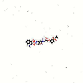 CCn1cc(S(=O)(=O)N2CCC3(CC2)CC(NCC(O)COc2cccc(S(=O)(=O)C4CC4)c2)CO3)c(=O)c2cccc(C)c21